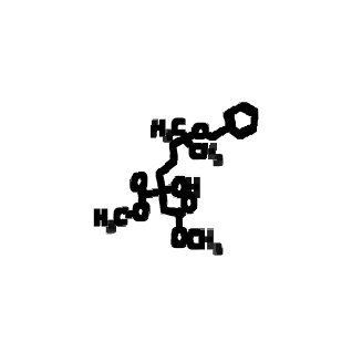 COC(=O)CC(O)(CCCC(C)(C)OCc1ccccc1)C(=O)OC